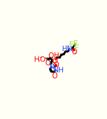 O=C(NCCCCCCOC1[C@@H](O)[C@@H](CO)O[C@H]1n1ccc(=O)[nH]c1=O)C(F)(F)F